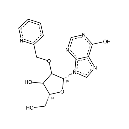 OC[C@H]1O[C@@H](n2cnc3c(O)ncnc32)C(OCc2ccccn2)C1O